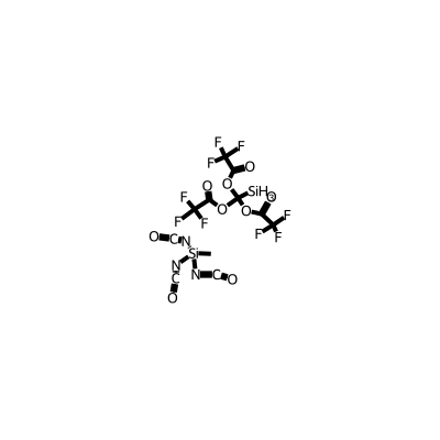 C[Si](N=C=O)(N=C=O)N=C=O.O=C(OC([SiH3])(OC(=O)C(F)(F)F)OC(=O)C(F)(F)F)C(F)(F)F